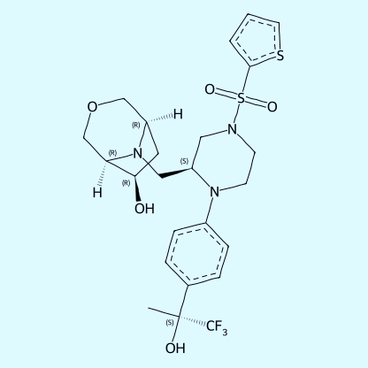 C[C@](O)(c1ccc(N2CCN(S(=O)(=O)c3cccs3)C[C@@H]2CN2[C@H]3COC[C@@H]2[C@H](O)C3)cc1)C(F)(F)F